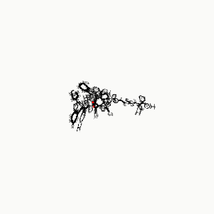 CN[C@@H](CSSCCOC(=O)O[C@H]1C[C@H]2OC[C@@]2(OC(C)=O)C2[C@H](OC(=O)c3ccccc3)[C@]3(O)C[C@H](OC(=O)[C@H](O)[C@@H](NC(=O)c4ccccc4)c4ccccc4)C(C)=C([C@@H](OC(C)=O)C(=O)[C@@]21C)C3(C)C)C(=O)O